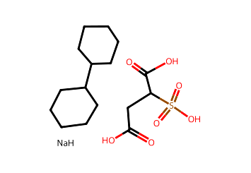 C1CCC(C2CCCCC2)CC1.O=C(O)CC(C(=O)O)S(=O)(=O)O.[NaH]